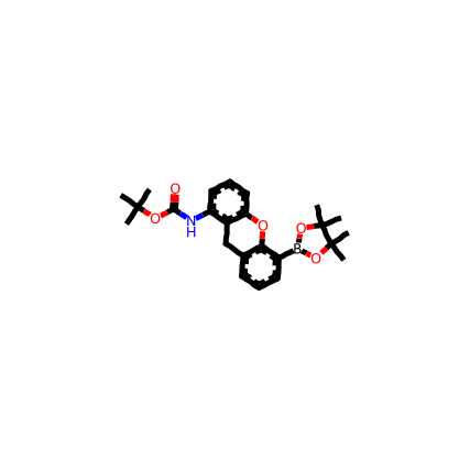 CC(C)(C)OC(=O)Nc1cccc2c1Cc1cccc(B3OC(C)(C)C(C)(C)O3)c1O2